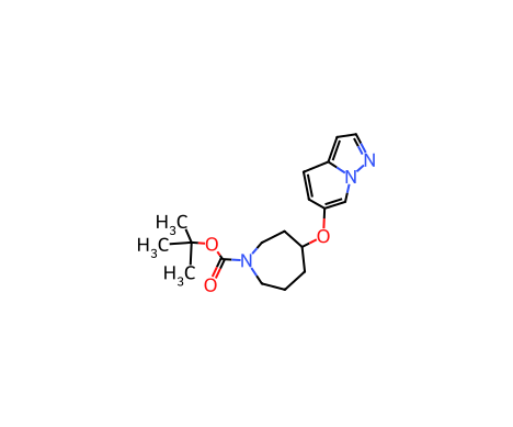 CC(C)(C)OC(=O)N1CCCC(Oc2ccc3ccnn3c2)CC1